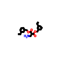 C=Cc1cccc(COC(=O)C(CN)C(=O)OCc2cccc(C=C)c2)c1